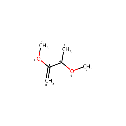 C=C(OC)C(C)OC